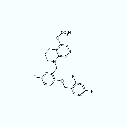 O=C(O)Oc1cncc2c1CCCN2Cc1cc(F)ccc1OCc1ccc(F)cc1F